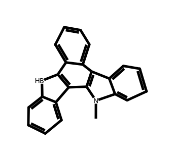 Cn1c2ccccc2c2c3ccccc3c3c(c21)-c1ccccc1B3